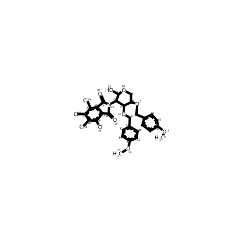 COc1ccc(COC2COC(O)C(N3C(=O)c4c(Cl)c(Cl)c(Cl)c(Cl)c4C3=O)C2OCc2ccc(OC)cc2)cc1